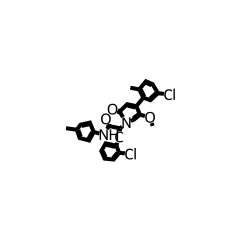 COc1cn(C(Cc2ccccc2Cl)C(=O)Nc2ccc(C)cc2)c(=O)cc1-c1cc(Cl)ccc1C